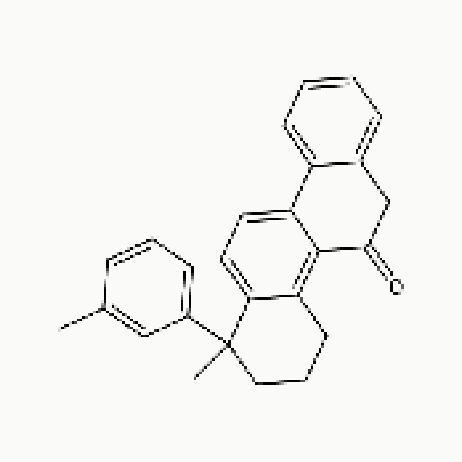 Cc1cccc(C2(C)CCCc3c2ccc2c3C(=O)Cc3ccccc3-2)c1